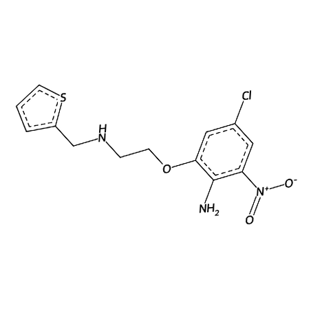 Nc1c(OCCNCc2cccs2)cc(Cl)cc1[N+](=O)[O-]